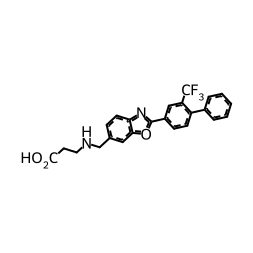 O=C(O)CCNCc1ccc2nc(-c3ccc(-c4ccccc4)c(C(F)(F)F)c3)oc2c1